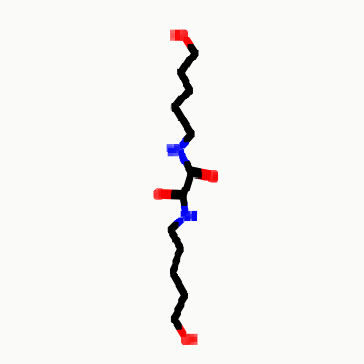 O=C(NCCCCCO)C(=O)NCCCCCO